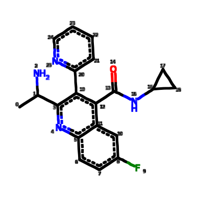 CC(N)c1nc2ccc(F)cc2c(C(=O)NC2CC2)c1-c1ccccn1